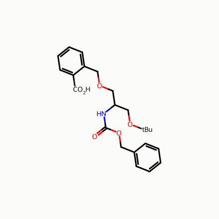 CC(C)(C)OCC(COCc1ccccc1C(=O)O)NC(=O)OCc1ccccc1